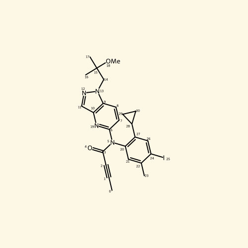 CC#CC(=O)N(c1ccc2c(cnn2CC(C)(C)OC)n1)c1cc(C)c(I)cc1C1CC1